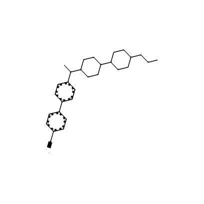 CCCC1CCC(C2CCC(C(C)c3ccc(-c4ccc(C#N)cc4)cc3)CC2)CC1